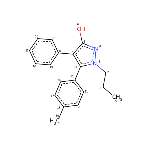 CCCn1nc(O)c(-c2ccccc2)c1-c1ccc(C)cc1